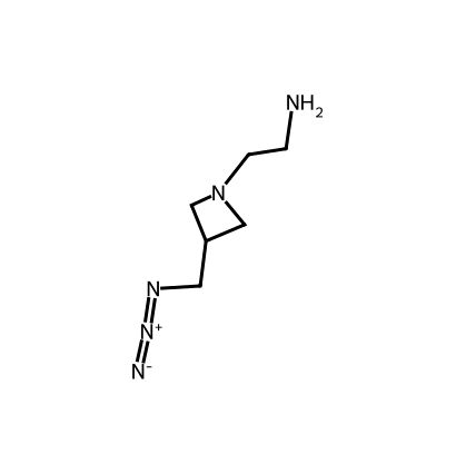 [N-]=[N+]=NCC1CN(CCN)C1